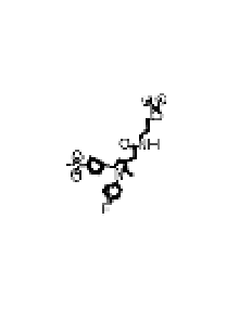 Cc1c(CC(=O)NCCCO[N+](=O)[O-])cc(-c2ccc(S(C)(=O)=O)cc2)n1-c1ccc(F)cc1